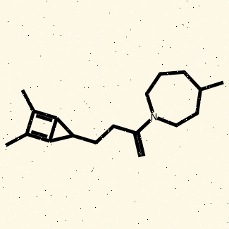 C=C(CCC1C2=C(C)C(C)=C21)N1CCCC(C)CC1